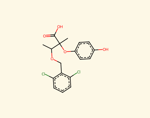 CC(OCc1c(Cl)cccc1Cl)C(C)(Oc1ccc(O)cc1)C(=O)O